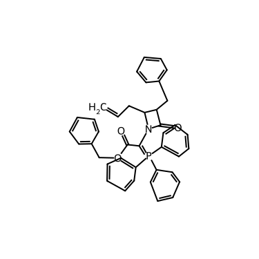 C=CCC1C(Cc2ccccc2)C(=O)N1C(C(=O)OCc1ccccc1)=P(c1ccccc1)(c1ccccc1)c1ccccc1